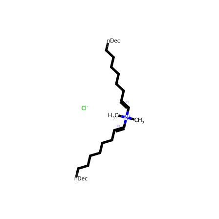 CCCCCCCCCCCCCCCC/C=C/[N+](C)(C)/C=C/CCCCCCCCCCCCCCCC.[Cl-]